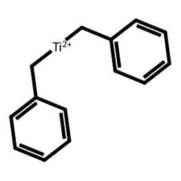 c1ccc([CH2][Ti+2][CH2]c2ccccc2)cc1